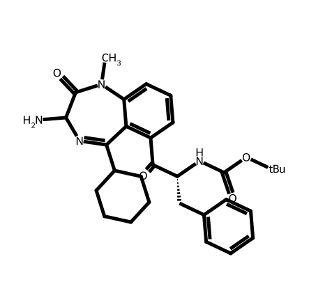 CN1C(=O)C(N)N=C(C2CCCCC2)c2c(C(=O)[C@@H](Cc3ccccc3)NC(=O)OC(C)(C)C)cccc21